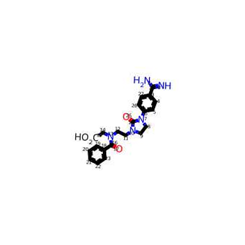 N=C(N)c1ccc(N2CCN(CCN(CC(=O)O)C(=O)c3ccccc3)C2=O)cc1